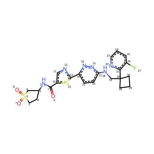 O=C(NC1CCS(=O)(=O)C1)c1cnc(-c2ccc(NCC3(c4ncccc4F)CCC3)nn2)s1